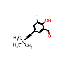 C[Si](C)(C)C#Cc1cc(F)c(O)c(C=O)c1